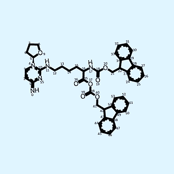 N=c1ccn([C@H]2CCCO2)c(NCCCCC(NC(=O)OCC2c3ccccc3-c3ccccc32)C(=O)OC(=O)OCC2c3ccccc3-c3ccccc32)n1